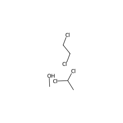 CC(Cl)Cl.CO.ClCCCl